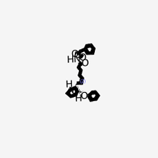 O=C(CCC/C=C\C[C@@H]1[C@H](COc2ccccc2)[C@@H]2CC[C@H]1O2)NS(=O)(=O)Cc1ccccc1